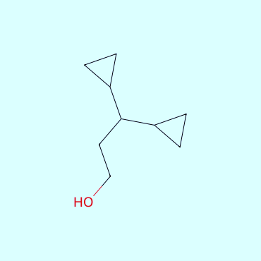 OCCC(C1CC1)C1CC1